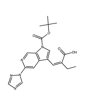 CCC(=Cc1cn(C(=O)OC(C)(C)C)c2cnc(-n3cncn3)cc12)C(=O)O